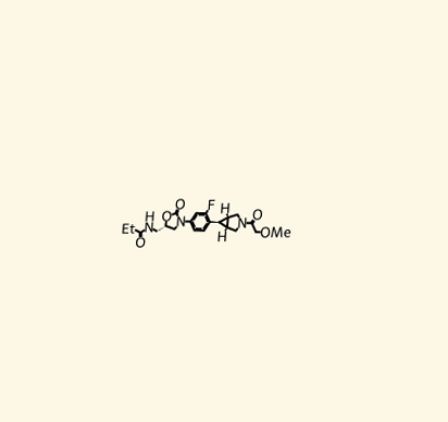 CCC(=O)NC[C@H]1CN(c2ccc([C@H]3[C@@H]4CN(C(=O)COC)C[C@@H]43)c(F)c2)C(=O)O1